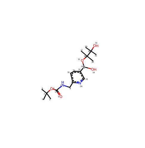 CC(C)(C)OC(=O)NCc1ccc(B(O)OC(C)(C)C(C)(C)O)cn1